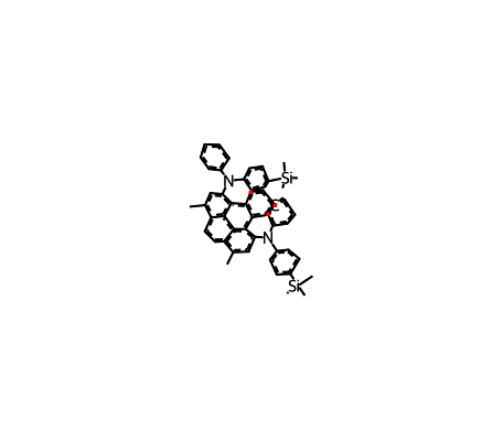 Cc1cc(N(c2ccccc2)c2ccc([Si](C)(C)C)cc2)c2c3ccccc3c3c(N(c4ccccc4)c4ccc([Si](C)(C)C)cc4)cc(C)c4ccc1c2c43